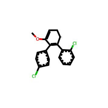 COC1=CC[CH]C(c2ccccc2Cl)=C1c1ccc(Cl)cc1